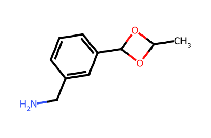 CC1OC(c2cccc(CN)c2)O1